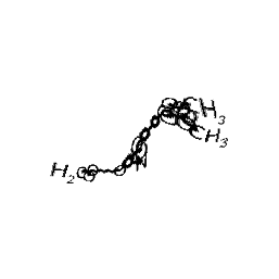 C=CC(=O)OCCCCCCOc1ccc(C(=O)Oc2ccc(-c3ccc(C4O[C@@H](C(=O)OCC)[C@H](C(=O)OCC)O4)cc3)cc2)c(C#N)c1